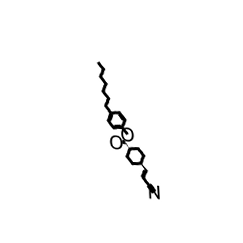 CCCCCCCc1ccc(OC(=O)[C@H]2CC[C@H](C=CC#N)CC2)cc1